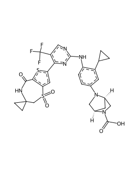 O=C1NC2(CC2)CS(=O)(=O)c2cc(-c3nc(Nc4ccc(N5C[C@H]6C[C@@H]5CN6C(=O)O)cc4C4CC4)ncc3C(F)(F)F)sc21